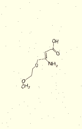 COCCOCC(N)=CC(=O)O